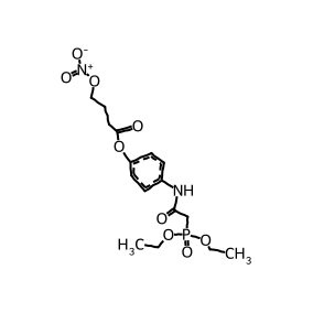 CCOP(=O)(CC(=O)Nc1ccc(OC(=O)CCCO[N+](=O)[O-])cc1)OCC